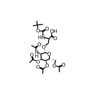 CC(=O)N[C@H]1[C@H](OCC(NC(=O)OC(C)(C)C)C(=O)O)O[C@H](COC(C)=O)[C@@H](OC(C)=O)[C@@H]1OC(C)=O